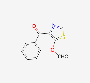 O=COc1scnc1C(=O)c1ccccc1